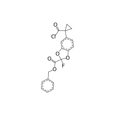 O=C(OCc1ccccc1)C1(F)Oc2ccc(C3(C(=O)Cl)CC3)cc2O1